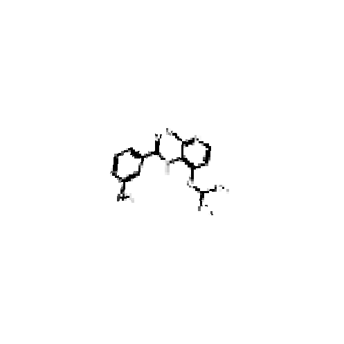 Nc1cccc(C(=O)Nc2c(OC(C(F)(F)F)C(F)(F)F)ccnc2Br)c1